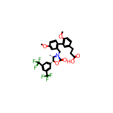 COc1ccc(-c2cc(CCC(=O)O)ccc2OC)c(CN2C(=O)O[C@H](c3cc(C(F)(F)F)cc(C(F)(F)F)c3)[C@@H]2C)c1